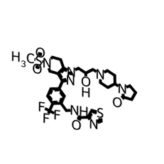 CS(=O)(=O)N1CCc2c(c(-c3ccc(C(F)(F)F)c(CNC(=O)c4cscn4)c3)nn2CC(O)CN2CCC(N3CCCC3=O)CC2)C1